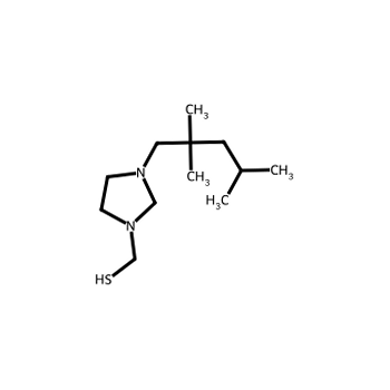 CC(C)CC(C)(C)CN1CCN(CS)C1